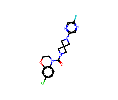 O=C(N1CC2(C1)CN(c1cnc(F)cn1)C2)N1CCOc2cc(Cl)ccc21